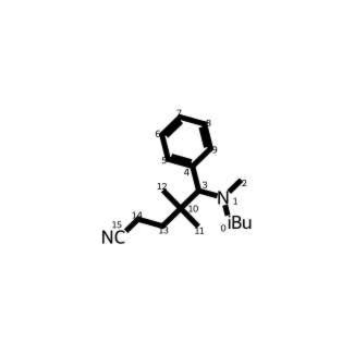 CCC(C)N(C)C(c1ccccc1)C(C)(C)CCC#N